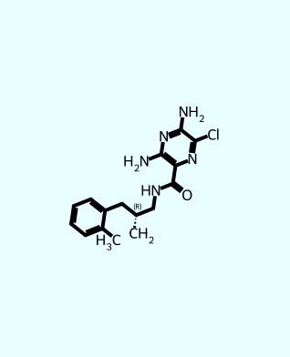 [CH2][C@@H](CNC(=O)c1nc(Cl)c(N)nc1N)Cc1ccccc1C